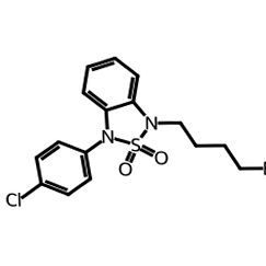 O=S1(=O)N(CCCCBr)c2ccccc2N1c1ccc(Cl)cc1